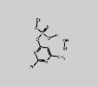 CCO.CCOP(=S)(OCC)Oc1cc(C)nc(C(C)C)n1